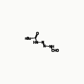 CCCCC(=O)NN=NNC=O